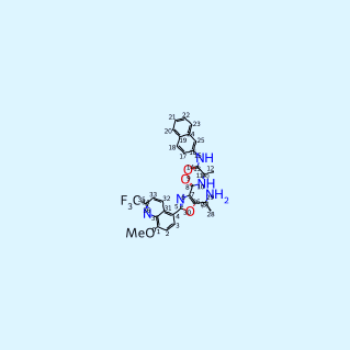 COc1ccc(-c2nc(C(=O)N[C@H](C)C(=O)Nc3ccc4ccccc4c3)c([C@H](C)N)o2)c2ccc(C(F)(F)F)nc12